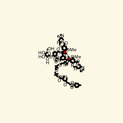 COc1cc2c(cc1OCc1cc(COc3cc4c(cc3OC)C(=O)N3Cc5ncn(C)c5C[C@H]3C=N4)cc(OS(=O)(=O)Oc3cc(C(=O)NCC(C)(C)COCC(C)(C)Cn4cc(COCC(C)(C)COCC(C)(C)CNC(=O)c5cncc(C(=O)CCS(=O)(=O)c6ccc(C)cc6)c5)nn4)ccc3O[C@@H]3O[C@H](CO)[C@H](O)[C@H](O)[C@H]3O)c1)N=C[C@@H]1Cc3c(ncn3C)CN1C2=O